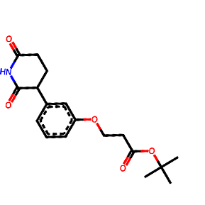 CC(C)(C)OC(=O)CCOc1cccc(C2CCC(=O)NC2=O)c1